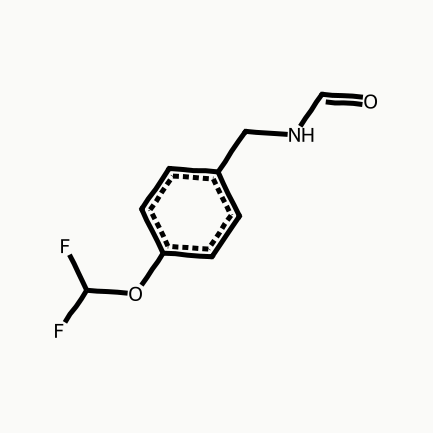 O=CNCc1ccc(OC(F)F)cc1